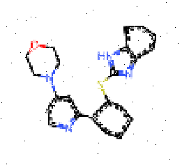 c1ccc(-c2cc(N3CCOCC3)ccn2)c(Sc2nc3ccccc3[nH]2)c1